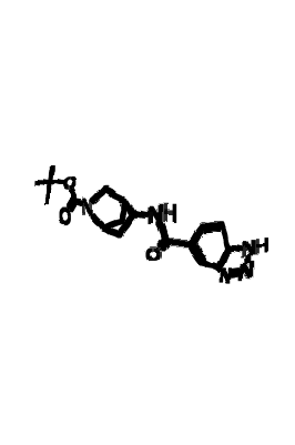 CC(C)(C)OC(=O)N1CC2CC1CC2NC(=O)c1ccc2[nH]nnc2c1